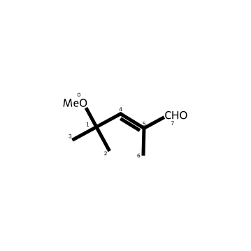 COC(C)(C)C=C(C)C=O